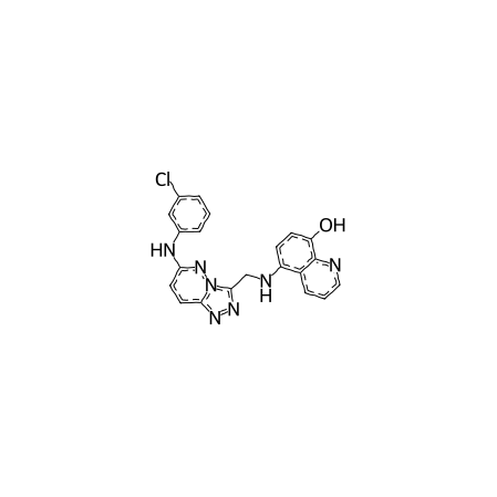 Oc1ccc(NCc2nnc3ccc(Nc4cccc(Cl)c4)nn23)c2cccnc12